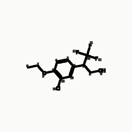 CCOc1ccc(C(CO)C(F)(F)F)cc1Cl